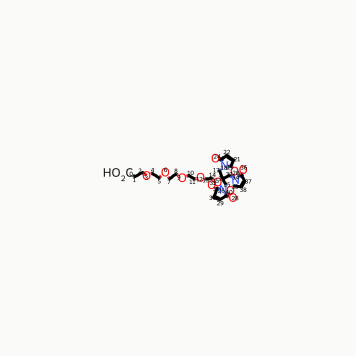 O=C(O)CCOCCOCCOCCOCCOC(CN1C(=O)C=CC1=O)(CN1C(=O)C=CC1=O)CN1C(=O)C=CC1=O